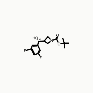 CC(C)(C)OC(=O)N1CC([C@@H](O)c2cc(F)cc(F)c2)C1